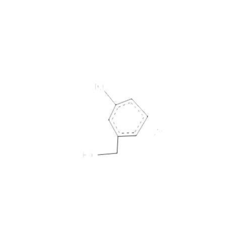 Oc1cccc(CC(F)(F)F)c1.[Zr]